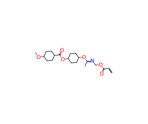 C=CC(=O)OC/N=C(\C)OC1CCC(OC(=O)C2CCC(OC)CC2)CC1